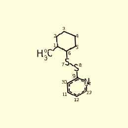 CC1CCCCC1SSc1ccccn1